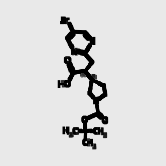 CC(C)(C)OC(=O)N1CC[C@H]([C@H](Cc2ncc(Br)cn2)C(=O)O)C1